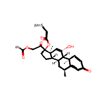 CSCC(=O)O[C@]1(C(=O)COC(=O)C(C)C)CC[C@H]2[C@@H]3C[C@H](C)C4=CC(=O)C=C[C@]4(C)[C@H]3[C@@H](O)C[C@@]21C